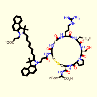 CCCCCC(NC(=O)[C@@H]1CSSC[C@@H](NC(=O)CCN2/C(=C/C=C/C=C/C=C/C3=[N+](CCC(=O)[O-])c4ccc5ccccc5c4C3(C)C)C(C)(C)c3c2ccc2ccccc32)C(=O)NCC(=O)N[C@@H](CCCNC(=N)N)C(=O)N[C@@H](CC(=O)O)C(=O)N[C@@H](CO)C(=O)N2CCCC2C(=O)N1)C(=O)O